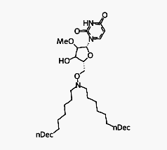 CCCCCCCCCCCCCCCCN(CCCCCCCCCCCCCCCC)OC[C@H]1O[C@@H](n2ccc(=O)[nH]c2=O)C(OC)C1O